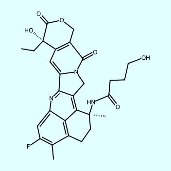 CC[C@@]1(O)C(=O)OCc2c1cc1n(c2=O)Cc2c-1nc1cc(F)c(C)c3c1c2[C@@](C)(NC(=O)CCCO)CC3